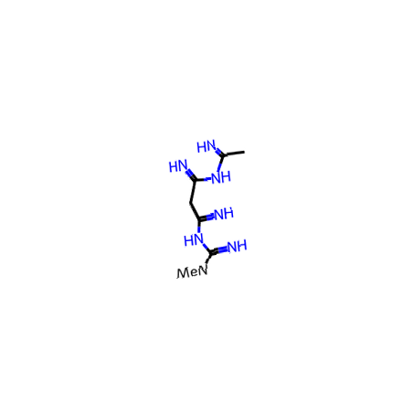 CNC(=N)NC(=N)CC(=N)NC(C)=N